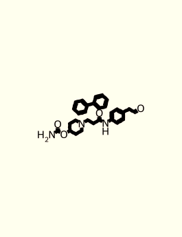 NC(=O)OC1CCN(CCC(=O)Nc2ccc(CC=O)cc2)CC1.c1ccc(-c2ccccc2)cc1